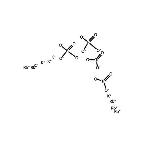 O=P([O-])([O-])[O-].O=P([O-])([O-])[O-].[K+].[K+].[K+].[K+].[K+].[O]=[Ti]([O-])[O-].[O]=[Ti]([O-])[O-].[Rb+].[Rb+].[Rb+].[Rb+].[Rb+]